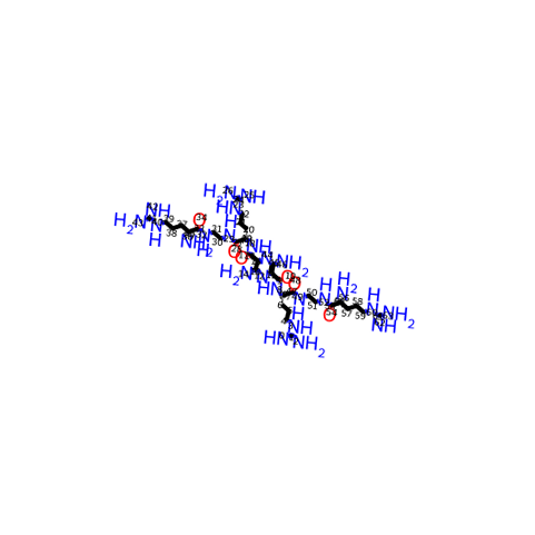 N=C(N)NCCC[C@H](NC(=O)c1nc(N)c(C(=O)N[C@@H](CCCNC(=N)N)C(=O)NCCNC(=O)[C@@H](N)CCCNC(=N)N)nc1N)C(=O)NCCNC(=O)[C@@H](N)CCCNC(=N)N